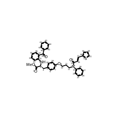 COC(=O)[C@H](Cc1ccc(OCCCN(C(=O)/C=C/c2cccs2)c2ccccc2)cc1)Nc1ccccc1C(=O)c1ccccc1